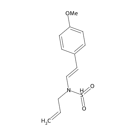 C=CCN(C=Cc1ccc(OC)cc1)[SH](=O)=O